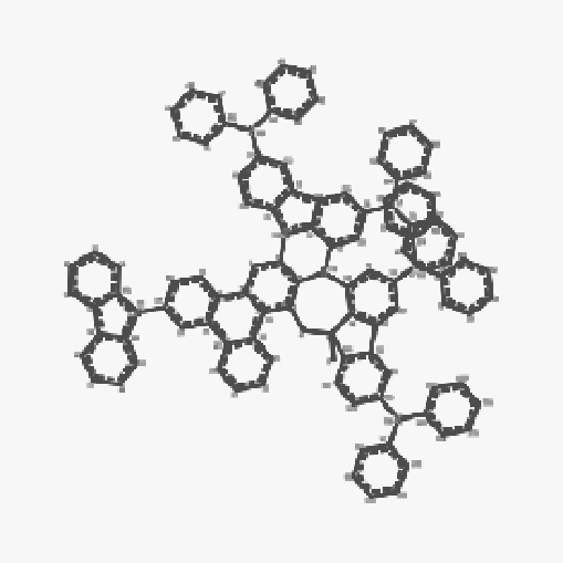 CC12Cc3c4c(cc5c6ccc(-n7c8ccccc8c8ccccc87)cc6c6ccccc6c35)-n3c5ccc(N(c6ccccc6)c6ccccc6)cc5c5cc(N(c6ccccc6)c6ccccc6)cc(c53)B4c3cc(N(c4ccccc4)c4ccccc4)cc(c31)-c1cc(N(c3ccccc3)c3ccccc3)ccc12